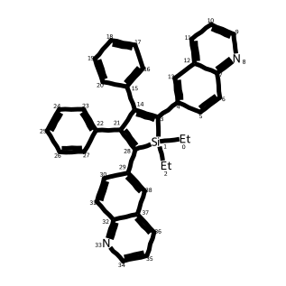 CC[Si]1(CC)C(c2ccc3ncccc3c2)=C(c2ccccc2)C(c2ccccc2)=C1c1ccc2ncccc2c1